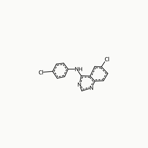 Clc1ccc(Nc2ncnc3ccc(Cl)cc23)cc1